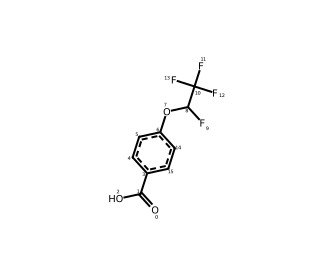 O=C(O)c1ccc(OC(F)C(F)(F)F)cc1